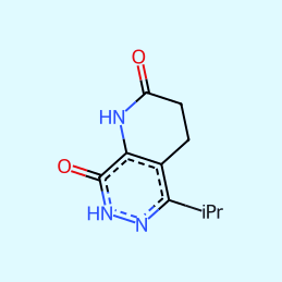 CC(C)c1n[nH]c(=O)c2c1CCC(=O)N2